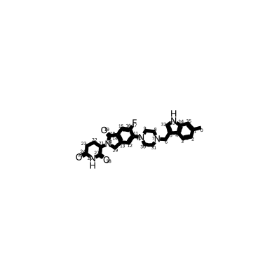 Cc1ccc2c(CN3CCN(c4cc5c(cc4F)C(=O)N(C4CCC(=O)NC4=O)C5)CC3)c[nH]c2c1